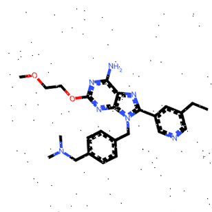 CCc1cncc(-c2nc3c(N)nc(OCCOC)nc3n2Cc2ccc(CN(C)C)cc2)c1